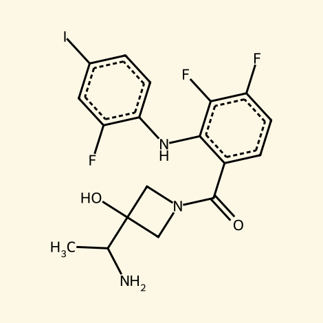 CC(N)C1(O)CN(C(=O)c2ccc(F)c(F)c2Nc2ccc(I)cc2F)C1